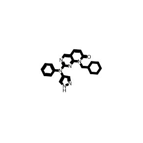 O=c1ccc2cnc(N(c3ccccc3)c3cn[nH]c3)nc2n1CC1CCCCC1